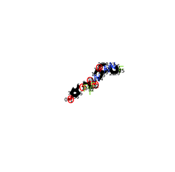 COc1ccc(COCC(OC(=O)N2CCC3(CC2)CN(c2ccc(F)cn2)CCO3)C(F)(F)F)cc1